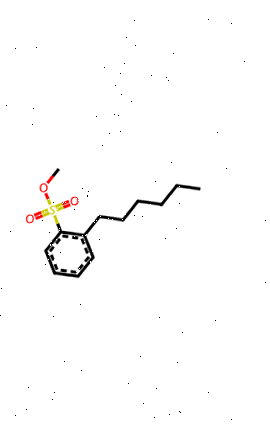 CCCCCCc1ccccc1S(=O)(=O)OC